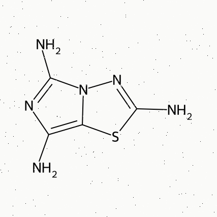 Nc1nn2c(N)nc(N)c2s1